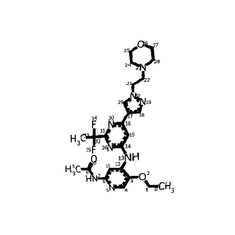 CCOc1cnc(NC(C)=O)cc1Nc1cc(-c2cnn(CCN3CCOCC3)c2)nc(C(C)(F)F)n1